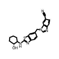 N#Cc1ccc2ncn(Cc3ccc4nc(NC5CCCC[C@H]5O)sc4c3)c2c1